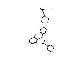 Cc1cc(C(=O)C[C@@H](c2ccc(N3CCC(C(=O)O)CC3)cc2)c2ccccc2C)ccn1